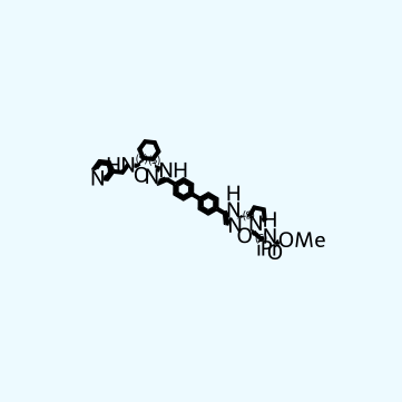 COC(=O)N[C@H](C(=O)N1CCC[C@H]1c1ncc(-c2ccc(-c3ccc(-c4cnc([C@H]5CCCC[C@@H]5C(=O)NCc5cccnc5)[nH]4)cc3)cc2)[nH]1)C(C)C